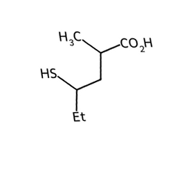 CCC(S)CC(C)C(=O)O